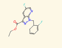 CCOC(=O)c1nn(CC2CC=CC=C2F)c2ncc(F)cc12